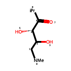 CNCC(O)[C@H](O)C(=O)C(C)C